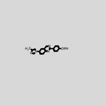 COc1ccc(-c2ncc3cc(-n4cnc(C)c4)ccc3n2)cc1